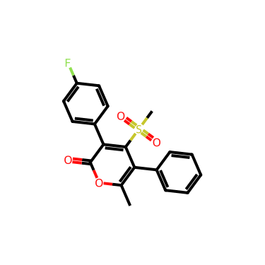 Cc1oc(=O)c(-c2ccc(F)cc2)c(S(C)(=O)=O)c1-c1ccccc1